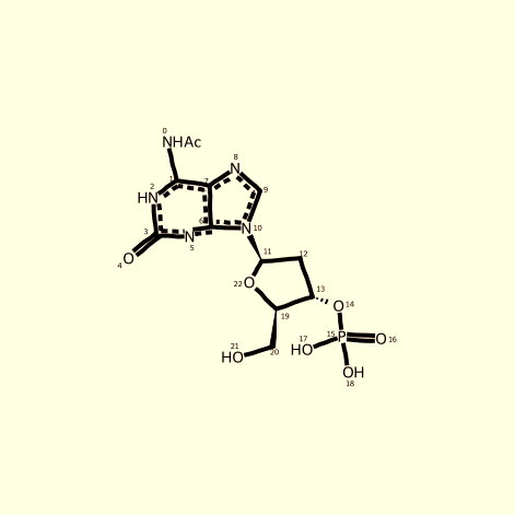 CC(=O)Nc1[nH]c(=O)nc2c1ncn2[C@H]1C[C@H](OP(=O)(O)O)[C@@H](CO)O1